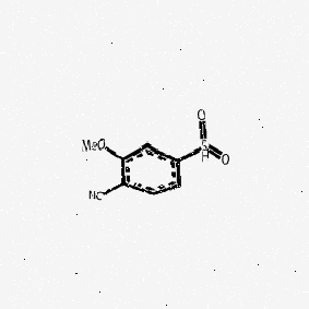 COc1cc([SH](=O)=O)ccc1C#N